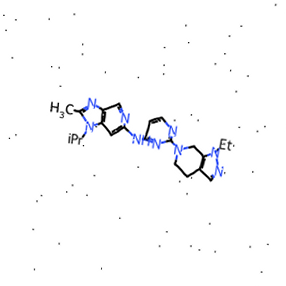 [CH2][CH]n1ncc2c1CN(c1nccc(Nc3cc4c(cn3)nc(C)n4C(C)C)n1)CC2